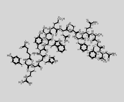 CC(=O)N[C@@H](CCC(N)=O)C(=O)N[C@@H](Cc1ccc(O)cc1)C(=O)N[C@@H](CCCNC(=N)N)C(=O)N[C@@H](Cc1c[nH]cn1)C(=O)N[C@@H](Cc1ccc(O)cc1)C(=O)N[C@@H](Cc1c[nH]c2ccccc12)C(=O)N[C@@H](CO)C(=O)N[C@@H](CCC(=O)O)C(=O)N[C@@H](CC(N)=O)C(=O)N[C@@H](CC(C)C)C(=O)N[C@@H](Cc1ccccc1)C(=O)N[C@@H](CCC(N)=O)C(=O)N[C@@H](C)C(=O)N[C@@H](Cc1ccccc1)C(=O)N[C@@H](CC(N)=O)C(N)=O